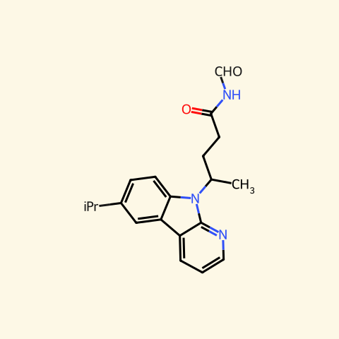 CC(C)c1ccc2c(c1)c1cccnc1n2C(C)CCC(=O)NC=O